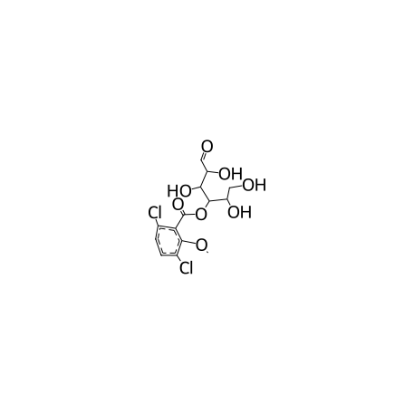 COc1c(Cl)ccc(Cl)c1C(=O)OC(C(O)CO)C(O)C(O)C=O